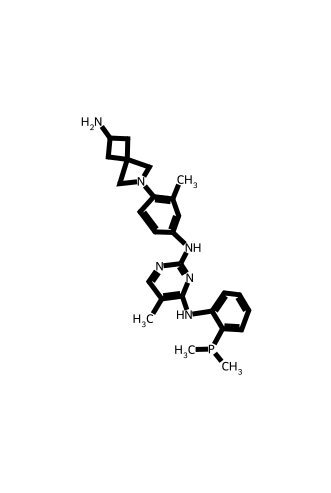 Cc1cc(Nc2ncc(C)c(Nc3ccccc3P(C)C)n2)ccc1N1CC2(CC(N)C2)C1